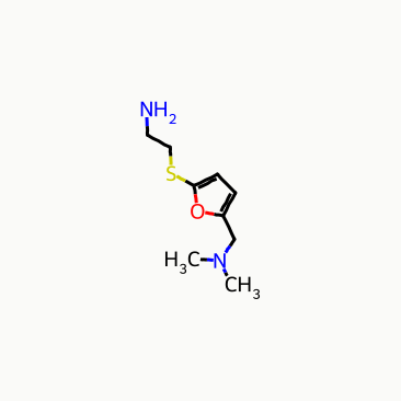 CN(C)Cc1ccc(SCCN)o1